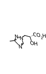 Cc1ncn(C[C@@H](O)C(=O)O)n1